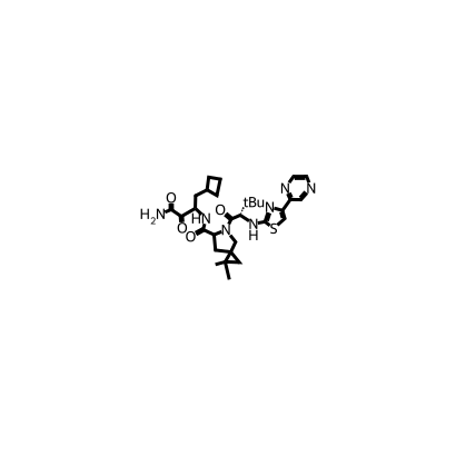 CC(C)(C)[C@H](Nc1nc(-c2cnccn2)cs1)C(=O)N1CC2(CC1C(=O)NC(CC1CCC1)C(=O)C(N)=O)CC2(C)C